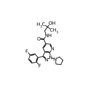 CC(C)(O)CNC(=O)c1cnc2c(c1)c(-c1cc(F)ccc1F)nn2N1CCCC1